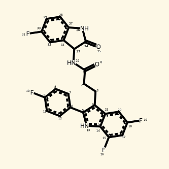 O=C(CCc1c(-c2ccc(F)cc2)[nH]c2c(F)cc(F)cc12)NC1C(=O)Nc2ccc(F)cc21